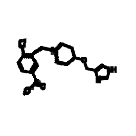 O=[N+]([O-])c1ccc(Cl)c(CN2CCC(OCc3c[nH]cn3)CC2)c1